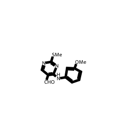 COc1cccc(Nc2nc(SC)ncc2C=O)c1